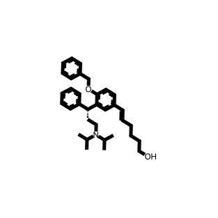 CC(C)N(CC[C@H](c1ccccc1)c1cc(C=CCCCCO)ccc1OCc1ccccc1)C(C)C